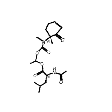 CC(=O)N[C@@H](CC(C)C)C(=O)OC(C)OC(=O)N(C)[C@]1(C)CCCCC1=O